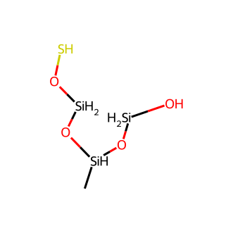 C[SiH](O[SiH2]O)O[SiH2]OS